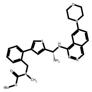 CN(Cc1ccccc1-c1csc([C@@H](N)Nc2nncc3ccc(N4CCOCC4)cc23)c1)C(=O)OC(C)(C)C